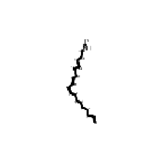 CCCCCCCC/C=C\CCCCCCCCNI